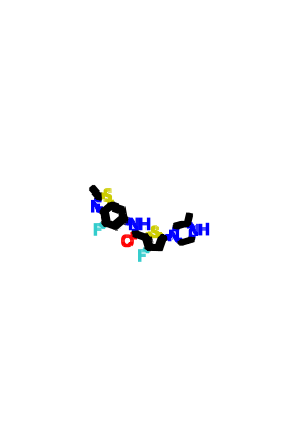 Cc1nc2c(F)cc(NC(=O)c3sc(N4CCNC(C)C4)cc3F)cc2s1